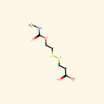 CNC(=O)OCCSSCCC(=O)O